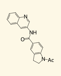 CC(=O)N1CCc2cc(C(=O)Nc3cnc4ccccc4c3)ccc21